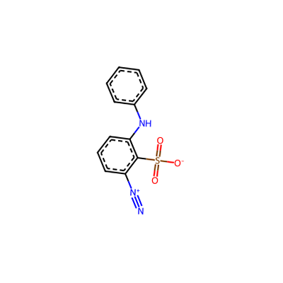 N#[N+]c1cccc(Nc2ccccc2)c1S(=O)(=O)[O-]